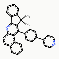 CC1(C)c2ccccc2-c2nc3ccc4ccccc4c3c(-c3ccc(-c4ccncc4)cc3)c21